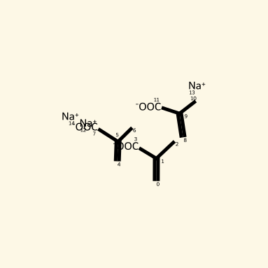 C=C(C)C(=O)[O-].C=C(C)C(=O)[O-].C=C(C)C(=O)[O-].[Na+].[Na+].[Na+]